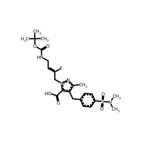 Cc1nn(C/C(F)=C/CNC(=O)OC(C)(C)C)c(C(=O)O)c1Cc1ccc(S(=O)(=O)N(C)C)cc1